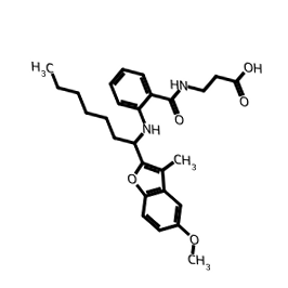 CCCCCCC(Nc1ccccc1C(=O)NCCC(=O)O)c1oc2ccc(OC)cc2c1C